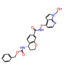 O=C(N[C@H]1CCOc2cc(C(=O)NSc3ccnc4c3ccn4CO)ccc21)OCc1ccccc1